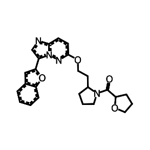 O=C(C1CCCO1)N1CCCC1CCOc1ccc2ncc(-c3cc4ccccc4o3)n2n1